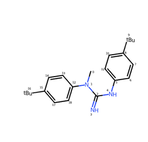 CN(C(=N)Nc1ccc(C(C)(C)C)cc1)c1ccc(C(C)(C)C)cc1